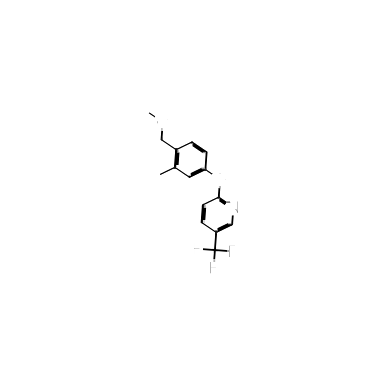 COCc1ccc(Oc2ccc(C(F)(F)F)cn2)cc1C